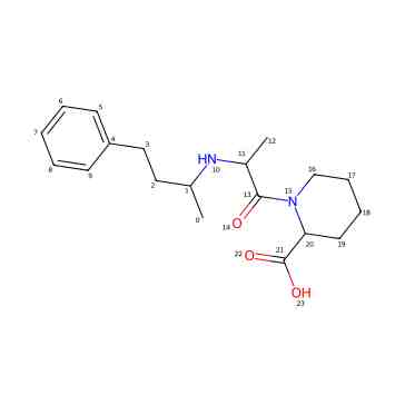 CC(CCc1ccccc1)NC(C)C(=O)N1CCCCC1C(=O)O